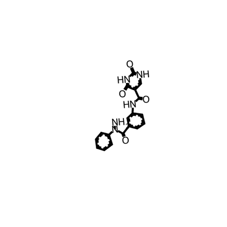 NN(C(=O)c1cccc(NC(=O)c2c[nH]c(=O)[nH]c2=O)c1)c1ccccc1